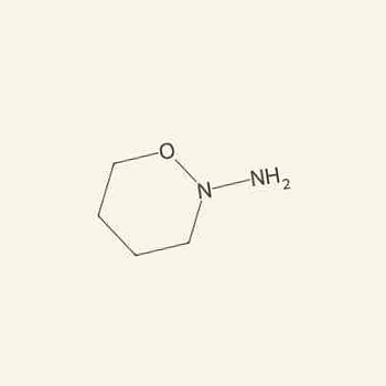 NN1CCCCO1